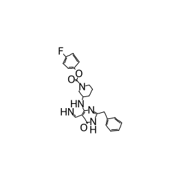 N=Cc1c(NC2CCCN(C(=O)Oc3ccc(F)cc3)C2)nc(Cc2ccccc2)[nH]c1=O